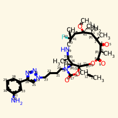 B[C@@H]1[C@@H](C)C(=O)[C@@H](C)C(=O)O[C@H](CC)[C@@]2(C)OC(=O)N(CCCCn3cc(-c4cccc(N)c4)nn3)[C@@H]2[C@@H](C)NCC(C)(F)C[C@@]1(C)OC